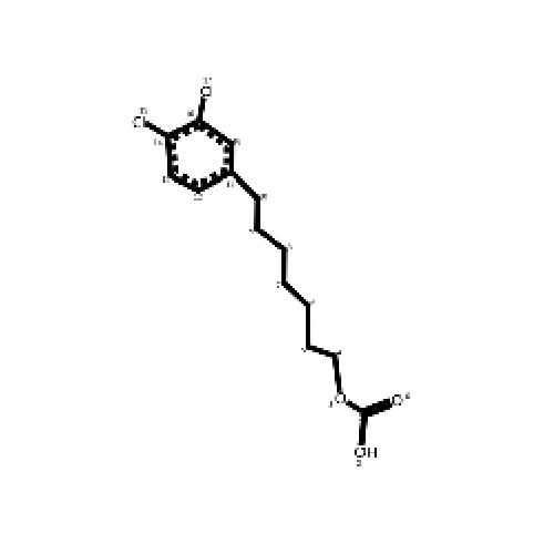 O=C(O)OCCCCCCCc1ccc(Cl)c(Cl)c1